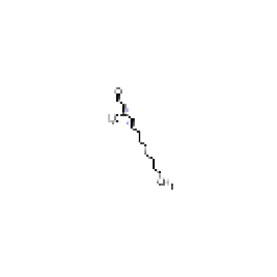 CCCCCCCC/C=C/C(C)=C/C=O